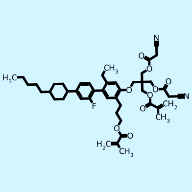 C=C(C)C(=O)OCCCc1cc(-c2ccc(C3CCC(CCCCC)CC3)cc2F)c(CC)cc1OCC(COC(=O)CC#N)(COC(=O)CC#N)COC(=O)C(=C)C